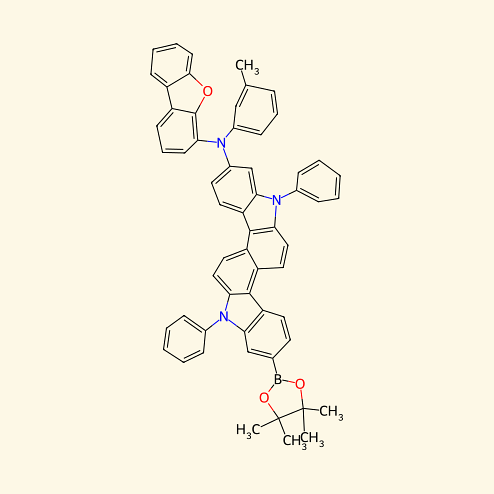 Cc1cccc(N(c2ccc3c4c5ccc6c(c5ccc4n(-c4ccccc4)c3c2)c2ccc(B3OC(C)(C)C(C)(C)O3)cc2n6-c2ccccc2)c2cccc3c2oc2ccccc23)c1